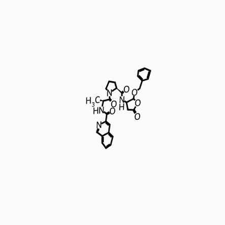 C[C@H](NC(=O)c1cc2ccccc2cn1)C(=O)N1CCC[C@H]1C(=O)NC1CC(=O)OC1OCc1ccccc1